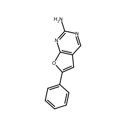 Nc1ncc2cc(-c3ccccc3)oc2n1